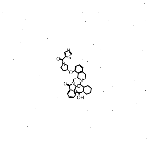 O=C(O)C1CCCCC1C(=O)N1CCc2cccc(O[C@H]3CCN(C(=O)c4cncs4)C3)c2[C@H]1CN1Cc2ccccc2C1=O